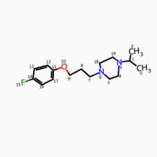 CC(C)N1CCN(CCCOc2ccc(F)cc2)CC1